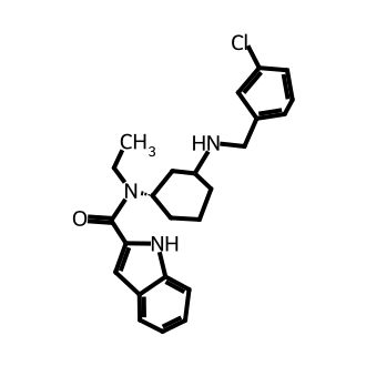 CCN(C(=O)c1cc2ccccc2[nH]1)[C@H]1CCCC(NCc2cccc(Cl)c2)C1